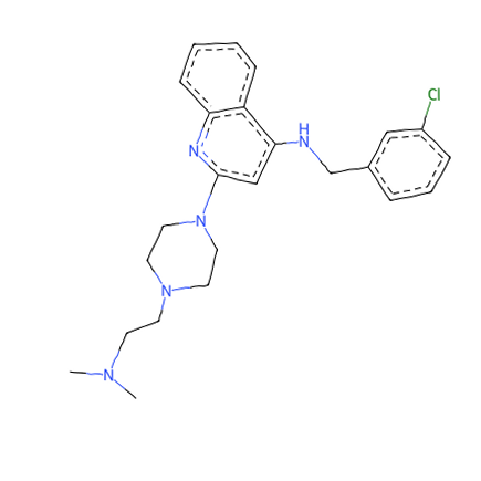 CN(C)CCN1CCN(c2cc(NCc3cccc(Cl)c3)c3ccccc3n2)CC1